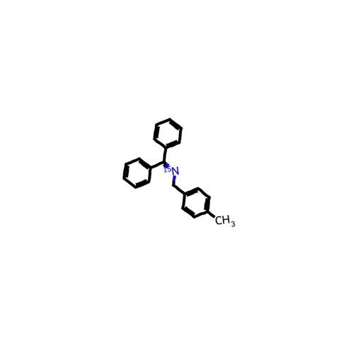 Cc1ccc(C[15N]=C(c2ccccc2)c2ccccc2)cc1